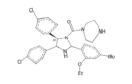 CCOc1cc(C(C)(C)C)ccc1C1NC(c2ccc(Cl)cc2)[C@@H](c2ccc(Cl)cc2)N1C(=O)N1CCNCC1